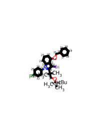 CC(C)(CO[Si](C)(C)C(C)(C)C)c1c(I)c2c(OCc3ccccc3)cccc2n1-c1ccc(F)cc1